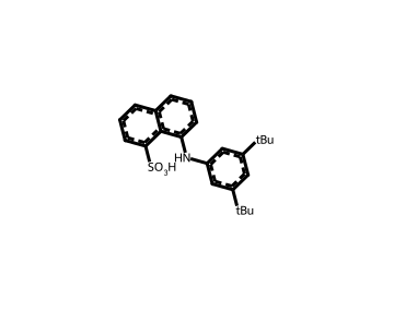 CC(C)(C)c1cc(Nc2cccc3cccc(S(=O)(=O)O)c23)cc(C(C)(C)C)c1